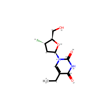 CCc1cn([C@H]2C[C@H](F)[C@@H](CO)O2)c(=O)[nH]c1=O